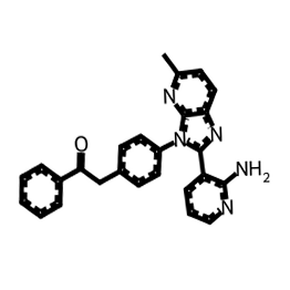 Cc1ccc2nc(-c3cccnc3N)n(-c3ccc(CC(=O)c4ccccc4)cc3)c2n1